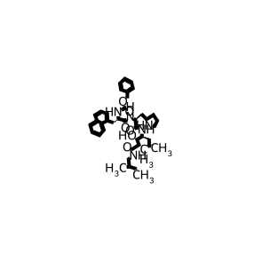 CCC(C)CNC(=O)C[C@H](O)[C@H](CC(C)C)NC(=O)[C@H](CC1CCCN1)NC(=O)[C@H](Cc1cccc2ccccc12)NC(=O)OCc1ccccc1